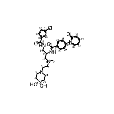 CN(CCN1CCS(O)(O)CC1)CC(CNC(=O)c1ccc(Cl)s1)NC(=O)c1ccc(-n2ccccc2=O)cc1